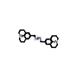 C(=N\N=C\c1cc2c3c(c1)CCCN3CCC2)/c1cc2c3c(c1)CCCN3CCC2